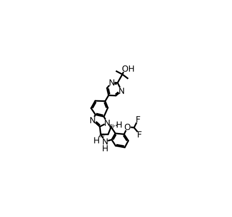 CC(C)(O)c1ncc(-c2ccc3nc4n(c3c2)[C@@H]2C[C@H]4Nc3cccc(OC(F)F)c32)cn1